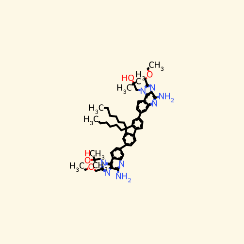 CCCCCCC1(CCCCCC)c2cc(-c3ccc4c(c3)nc(N)c3nc(COCC)n(CC(C)(C)O)c34)ccc2-c2ccc(-c3ccc4c(c3)nc(N)c3nc(COCC)n(CC(C)(C)O)c34)cc21